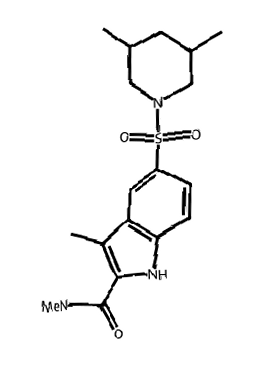 CNC(=O)c1[nH]c2ccc(S(=O)(=O)N3CC(C)CC(C)C3)cc2c1C